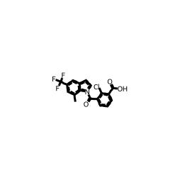 Cc1cc(C(F)(F)F)cc2ccn(C(=O)c3cccc(C(=O)O)c3Cl)c12